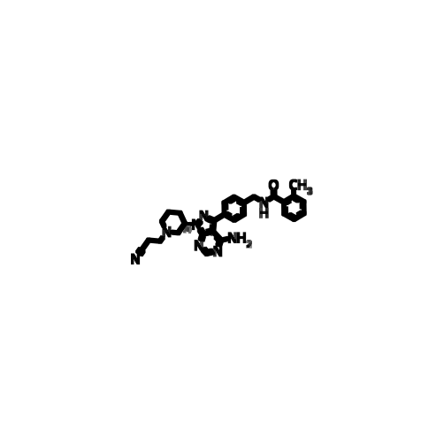 Cc1ccccc1C(=O)NCc1ccc(-c2nn([C@@H]3CCCN(CCC#N)C3)c3ncnc(N)c23)cc1